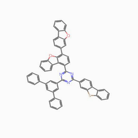 c1ccc(-c2cc(-c3ccccc3)cc(-c3nc(-c4ccc5c(c4)sc4ccccc45)nc(-c4ccc(-c5ccc6c(c5)oc5ccccc56)c5oc6ccccc6c45)n3)c2)cc1